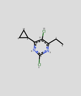 CCc1nc(Cl)nc(C2CC2)c1Cl